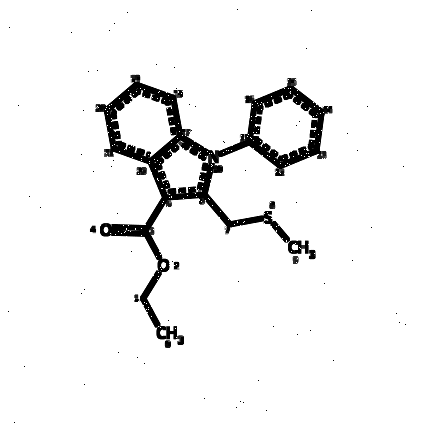 CCOC(=O)c1c(CSC)n(-c2ccccc2)c2ccccc12